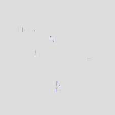 O=C(O)N1CC[C@H]2CNC[C@H]21